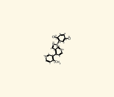 Cc1ccncc1-c1ccnc2c1cnn2-c1cc(Cl)ccc1Cl